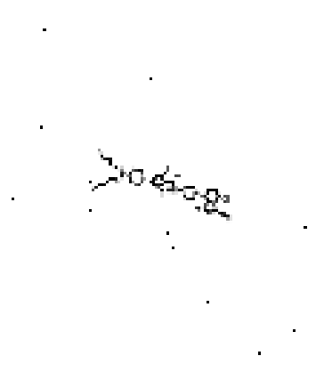 CCCCOC(OCCCC)C1CCN(c2cc(F)c(C(=O)NC3CCN(c4ccc(Cl)c5c(C#N)c[nH]c45)CC3)c(F)c2)CC1